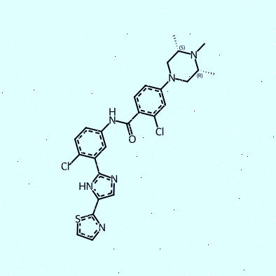 C[C@@H]1CN(c2ccc(C(=O)Nc3ccc(Cl)c(-c4ncc(-c5nccs5)[nH]4)c3)c(Cl)c2)C[C@H](C)N1C